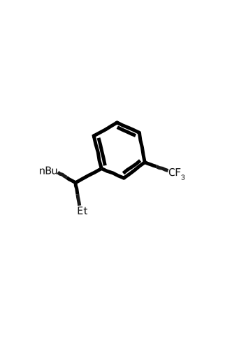 CCCCC(CC)c1cccc(C(F)(F)F)c1